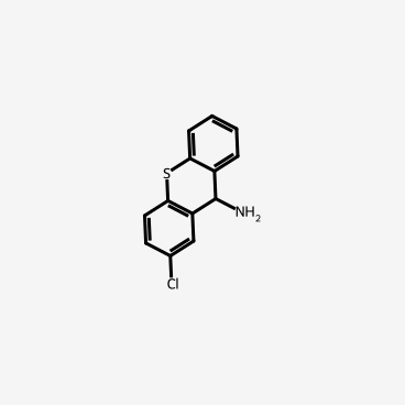 NC1c2ccccc2Sc2ccc(Cl)cc21